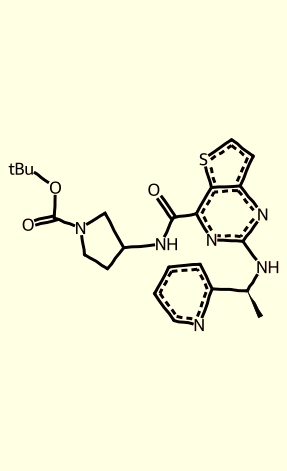 C[C@H](Nc1nc(C(=O)NC2CCN(C(=O)OC(C)(C)C)C2)c2sccc2n1)c1ccccn1